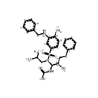 CC(C)CN(C(NC(=O)O)[C@H](O)CCc1ccccc1)S(=O)(=O)c1ccc(N)c(NCc2ccccc2)c1